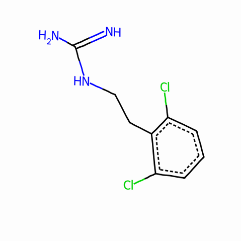 N=C(N)NCCc1c(Cl)cccc1Cl